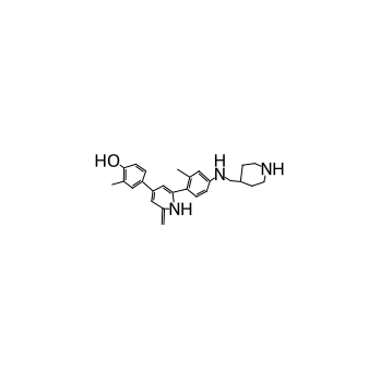 C=C1C=C(c2ccc(O)c(C)c2)C=C(c2ccc(NCC3CCNCC3)cc2C)N1